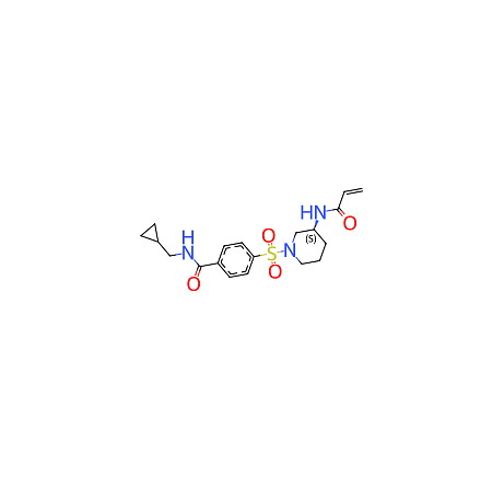 C=CC(=O)N[C@H]1CCCN(S(=O)(=O)c2ccc(C(=O)NCC3CC3)cc2)C1